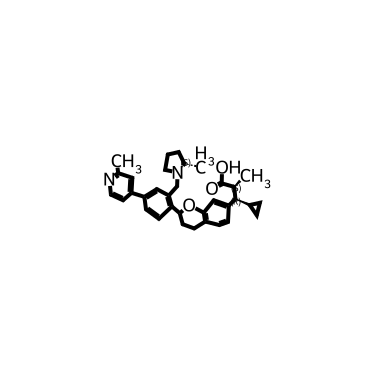 Cc1cc(-c2ccc(C3CCc4ccc([C@H](C5CC5)[C@H](C)C(=O)O)cc4O3)c(CN3CCC[C@@H]3C)c2)ccn1